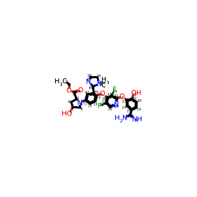 CCOC(=O)C1CC(O)CN1c1ccc(Oc2c(F)cnc(Oc3cc(C(=N)N)ccc3O)c2F)c(C2N=CCN2C)c1